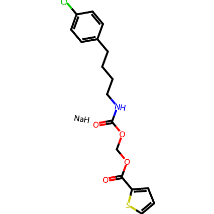 O=C(NCCCCc1ccc(Cl)cc1)OCOC(=O)c1cccs1.[NaH]